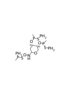 CP(P)SONC1C[C@H](OP(C)SP)[C@H](OP(C)SP)CO1